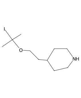 CC(C)(I)OCCC1CCNCC1